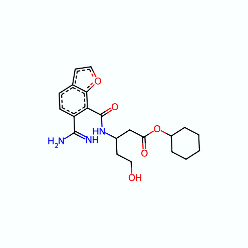 N=C(N)c1ccc2ccoc2c1C(=O)NC(CCO)CC(=O)OC1CCCCC1